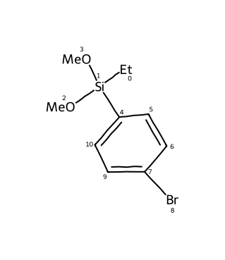 CC[Si](OC)(OC)c1ccc(Br)cc1